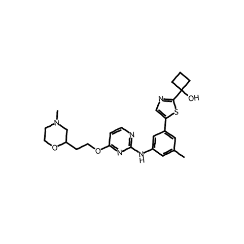 Cc1cc(Nc2nccc(OCCC3CN(C)CCO3)n2)cc(-c2cnc(C3(O)CCC3)s2)c1